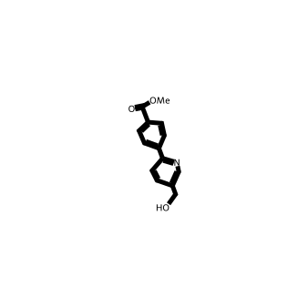 COC(=O)c1ccc(-c2ccc(CO)cn2)cc1